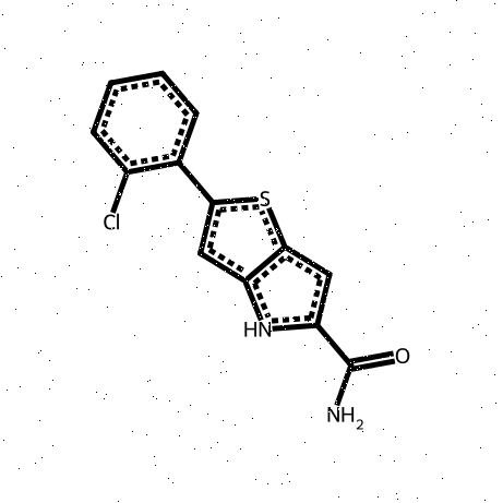 NC(=O)c1cc2sc(-c3ccccc3Cl)cc2[nH]1